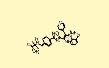 CC(C)(NCc1ccc(-c2noc(/C(N)=C(\c3ccncc3)N(N)c3ccccc3F)n2)cc1)C(=O)O